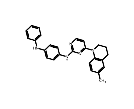 Cc1ccc2c(c1)CCCN2c1ccnc(Nc2ccc(Nc3ccccc3)cc2)n1